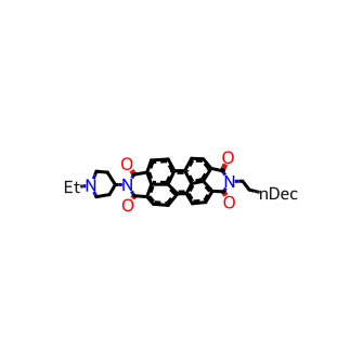 CCCCCCCCCCCCN1C(=O)c2ccc3c4ccc5c6c(ccc(c7ccc(c2c37)C1=O)c64)C(=O)N(C1CCN(CC)CC1)C5=O